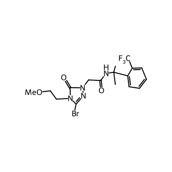 COCCn1c(Br)nn(CC(=O)NC(C)(C)c2ccccc2C(F)(F)F)c1=O